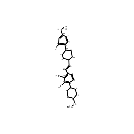 CCCCOC1CCC(c2ccc(/C=C/C3CCC(c4ccc(OCC)cc4F)CC3)c(F)c2F)CC1